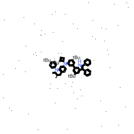 CC1[C@H](C)Cc2ccc(N(c3cc(-c4cc(C(C)(C)C)cc5c(-c6ccccc6)c(-c6ccccc6)[nH]c45)cc(C(C)(C)C)c3)[C@H]3CC=C3C(C)(C)C)cc2N1c1ccc(C(C)(C)C)cc1